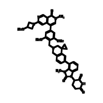 COc1cc(-c2cn(C)c(=O)c3cnc(N4CC(OC)C4)cc23)cc(OC)c1CN1Cc2ccc(-c3cccc4c3n(C)c(=O)n4C3CCC(=O)NC3=O)cc2C2(CC2)C1